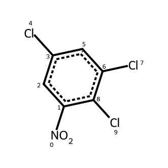 O=[N+]([O-])c1cc(Cl)[c]c(Cl)c1Cl